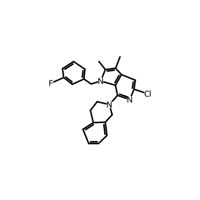 Cc1c(C)n(Cc2cccc(F)c2)c2c(N3CCc4ccccc4C3)nc(Cl)cc12